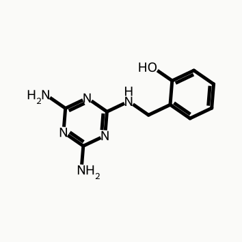 Nc1nc(N)nc(NCc2ccccc2O)n1